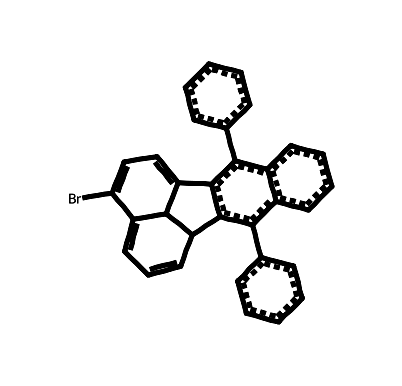 BrC1=CC=C2c3c(c(-c4ccccc4)c4ccccc4c3-c3ccccc3)C3C=CC=C1C23